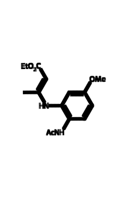 CCOC(=O)C=C(C)Nc1cc(OC)ccc1NC(C)=O